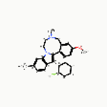 CCCOc1ccc2c(c1)CN(C(C)C)CCn1c-2c([C@@H]2CCCC[C@H]2F)c2ccc(C(=O)O)cc21